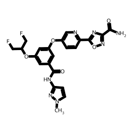 Cn1ccc(NC(=O)c2cc(Oc3ccc(-c4nc(C(N)=O)no4)nc3)cc(OC(CF)CF)c2)n1